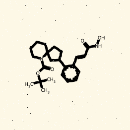 CC(C)(C)OC(=O)N1CCCCC12CCC(c1ccccc1/C=C/C(=O)NO)C2